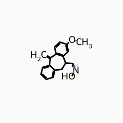 C=C1c2ccccc2CC(/C=N\O)c2cc(OC)ccc21